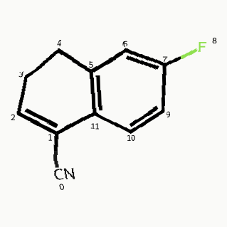 N#CC1=CCCc2cc(F)ccc21